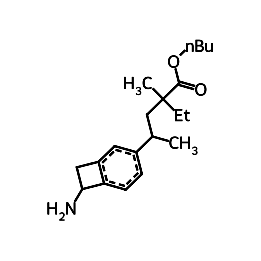 CCCCOC(=O)C(C)(CC)CC(C)c1ccc2c(c1)CC2N